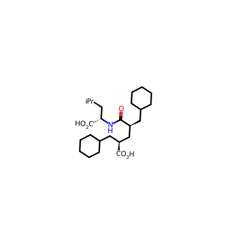 CC(C)C[C@H](NC(=O)[C@@H](CC1CCCCC1)C[C@H](CC1CCCCC1)C(=O)O)C(=O)O